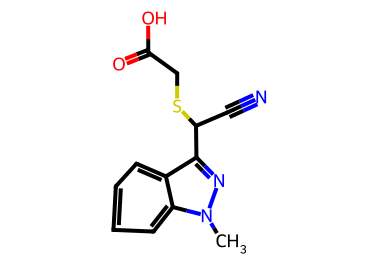 Cn1nc(C(C#N)SCC(=O)O)c2ccccc21